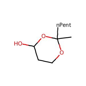 CCCCCC1(C)OCCC(O)O1